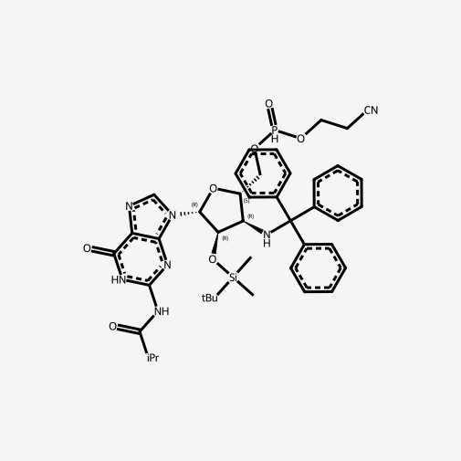 CC(C)C(=O)Nc1nc2c(ncn2[C@@H]2O[C@H](CO[PH](=O)OCCC#N)[C@@H](NC(c3ccccc3)(c3ccccc3)c3ccccc3)[C@H]2O[Si](C)(C)C(C)(C)C)c(=O)[nH]1